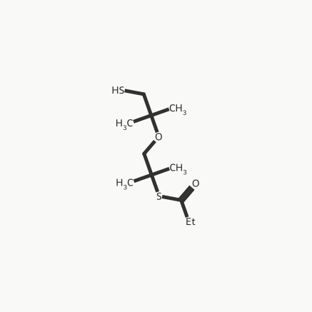 CCC(=O)SC(C)(C)COC(C)(C)CS